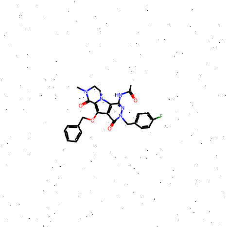 CC(=O)Nc1nn(Cc2ccc(F)cc2)c(=O)c2c(OCc3ccccc3)c3n(c12)CCN(C)C3=O